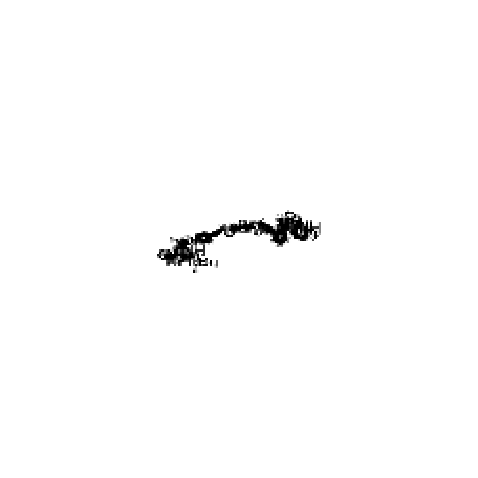 C[C@@H](OCc1ccc(C#CCOCCOCCOCC#Cc2cccc3c2n(C)c(=O)n3C2CCC(=O)NC2=O)cc1)[C@H](CCC(N)=O)NC(=O)OC(C)(C)C